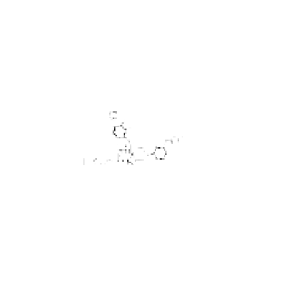 O=C(O)Cc1cccc(N2CCC3(CC2)C(=O)N(CCCC(F)(F)F)C(=O)N3Cc2ccc(OC(F)(F)F)cc2)c1